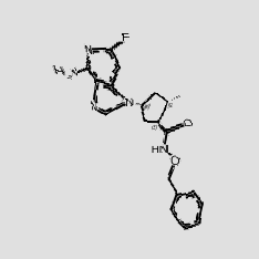 C[C@H]1C[C@@H](n2cnc3c(N)nc(F)cc32)C[C@@H]1C(=O)NOCc1ccccc1